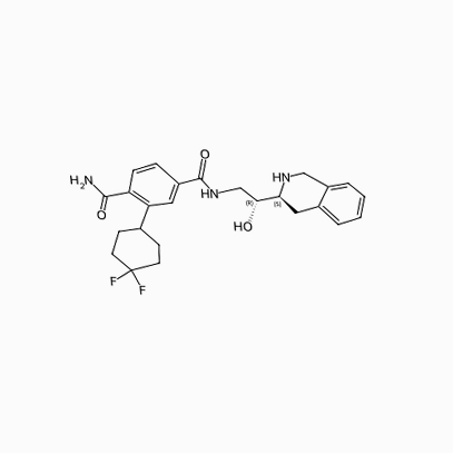 NC(=O)c1ccc(C(=O)NC[C@@H](O)[C@@H]2Cc3ccccc3CN2)cc1C1CCC(F)(F)CC1